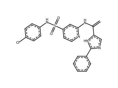 C=C(Nc1cc(S(=O)(=O)Nc2ccc(Cl)cc2)ccn1)c1cnc(-c2ccccc2)[nH]1